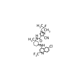 CC(C)(F)Cn1cc(C(=O)NC2(C)CCC[C@H](Nc3cc(C(F)(F)F)nc4ccc(Cl)cc34)C2)c(C#N)n1